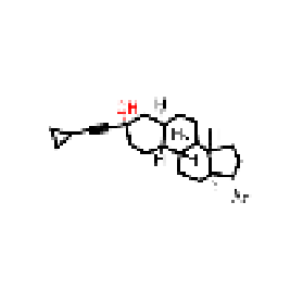 CC(=O)[C@H]1CC[C@H]2[C@@H]3CC[C@@H]4C[C@](O)(C#CC5CC5)CC[C@@H]4[C@H]3CC[C@]12C